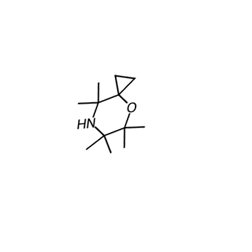 CC1(C)NC(C)(C)C2(CC2)OC1(C)C